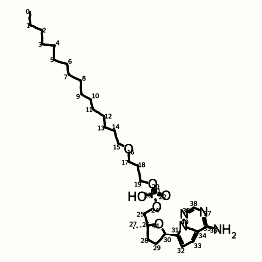 CCCCCCCCCCCCCCCCOCCCOP(=O)(O)OC[C@]1(C)CC[C@H](c2ccc3c(N)ncnn23)O1